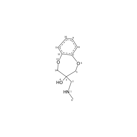 CNCC1(O)COc2ccccc2OC1